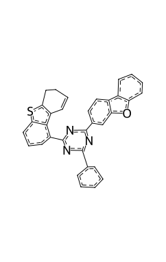 C1=Cc2c(sc3cccc(-c4nc(-c5ccccc5)nc(-c5ccc6c(c5)oc5ccccc56)n4)c23)CC1